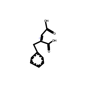 O=C(O)/C=C(/Cc1ccccc1)C(=O)O